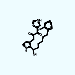 CCCC(CCCCCc1ccccc1F)c1[nH]ccc1CC(=O)C(=O)c1nc[nH]n1